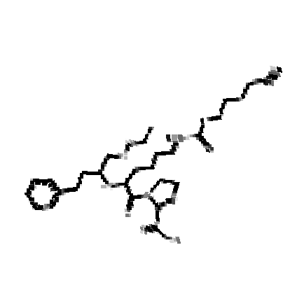 CCOOCC(CCc1ccccc1)NC(CCCCNC(=O)OCCCCN=O)C(=O)N1CCCC1C(=O)O